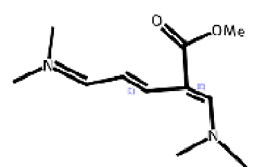 COC(=O)C(/C=C/C=[N+](C)C)=C/N(C)C